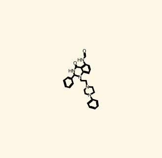 O=CNc1cccc2c1C(=O)NC(c1ccccc1)N2CCN1CCN(c2ccccc2)CC1